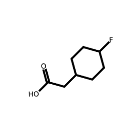 O=C(O)CC1CCC(F)CC1